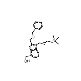 C[Si](C)(C)CCOCn1c(COCc2ccccc2)nc2c(CO)cccc21